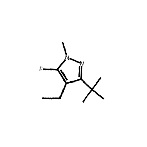 CCc1c(C(C)(C)C)nn(C)c1F